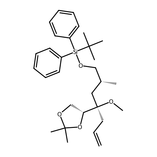 C=CC[C@](C[C@@H](C)CO[Si](c1ccccc1)(c1ccccc1)C(C)(C)C)(OC)[C@H]1COC(C)(C)O1